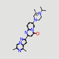 Cc1cn2nc(-c3cc(=O)n4cc(N5CCN(C(C)C)[C@H](C)C5)ccc4n3)cc2c(C)n1